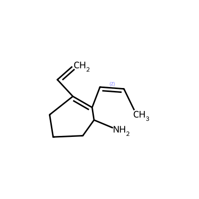 C=CC1=C(/C=C\C)C(N)CCC1